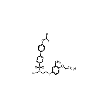 CCCN(CCSc1ccc(OCC(=O)O)c(C)c1)S(=O)(=O)c1ccc(-c2ccc(OC(F)F)cc2)cc1